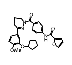 COc1ccc(C2=NN(C(=O)c3ccc(NC(=O)c4ccco4)cc3)CCC2)cc1OC1CCCC1